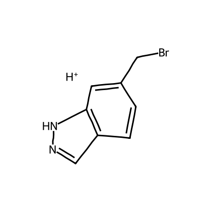 BrCc1ccc2cn[nH]c2c1.[H+]